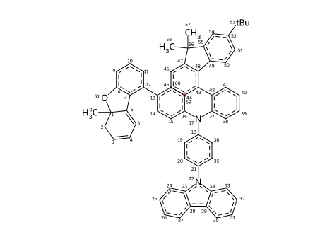 CC12CC=CC=C1c1c(cccc1-c1ccc(N(c3ccc(-n4c5ccccc5c5ccccc54)cc3)c3ccccc3-c3cccc4c3-c3ccc(C(C)(C)C)cc3C4(C)C)cc1)O2